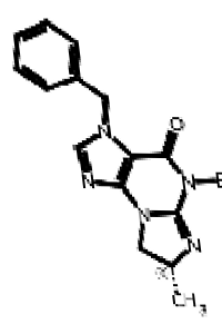 CCN1C(=O)c2c(ncn2Cc2ccccc2)N2C[C@@H](C)N=C12